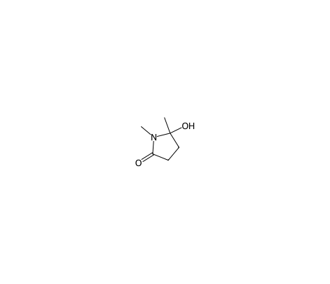 CN1C(=O)CCC1(C)O